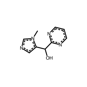 Cn1cncc1C(O)c1ncccn1